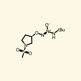 CC(C)(C)N/[N+]([O-])=N/O[C@@H]1CCN(S(C)(=O)=O)C1